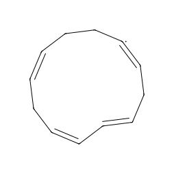 [C]1=C\C/C=C/C=C\C/C=C\CC/1